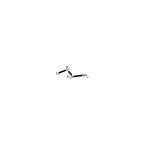 [Li][SiH2][SiH2]N